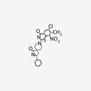 Cc1c(Cl)cc2c(=O)nc(N3CCC4(CC3)CC(c3ccccc3)=NC4=O)sc2c1[N+](=O)[O-]